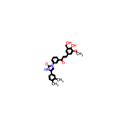 COc1cc(/C=C/C(=O)c2cccc(-n3cc(-c4ccc(C)c(C)c4)[nH]c3=O)c2)cc(CO)c1O